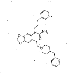 NC(=O)N(CCCc1ccccc1)c1cc2c(cc1CCN1CCC(Cc3ccccc3)CC1)OCO2